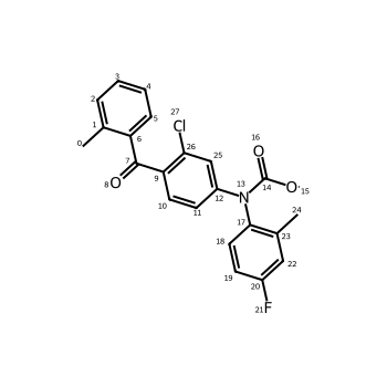 Cc1ccccc1C(=O)c1ccc(N(C([O])=O)c2ccc(F)cc2C)cc1Cl